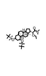 CCOC(C(=O)N(C)C)[C@H]1CC[C@H]2[C@@H]3CC=C4C[C@@H](O[Si](C)(C)C(C)(C)C)C[C@H](O[Si](C)(C)C(C)(C)C)[C@]4(C)[C@H]3CC[C@]12C